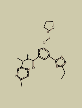 CCc1cnc(-c2cc(OC[C@@H]3CCCO3)cc(C(=O)NC(C)c3cnc(C)cn3)c2)s1